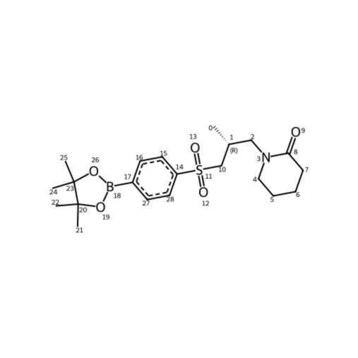 C[C@H](CN1CCCCC1=O)CS(=O)(=O)c1ccc(B2OC(C)(C)C(C)(C)O2)cc1